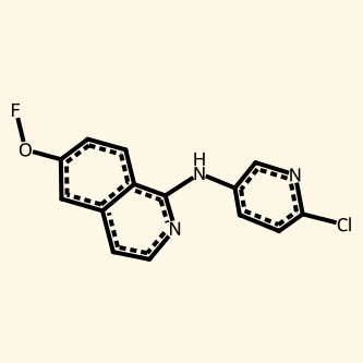 FOc1ccc2c(Nc3ccc(Cl)nc3)nccc2c1